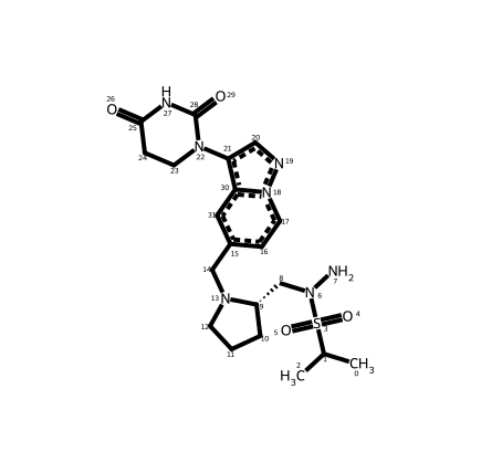 CC(C)S(=O)(=O)N(N)C[C@@H]1CCCN1Cc1ccn2ncc(N3CCC(=O)NC3=O)c2c1